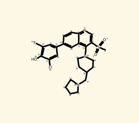 CS(=O)(=O)c1cnc2ccc(-c3cc(F)c(O)c(Cl)c3)cc2c1N1CCC(CN2CCCC2)CC1